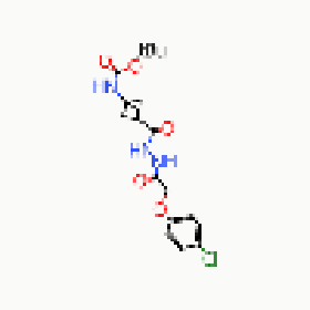 CC(C)(C)OC(=O)NC12CC(C(=O)NNC(=O)COc3ccc(Cl)cc3)(C1)C2